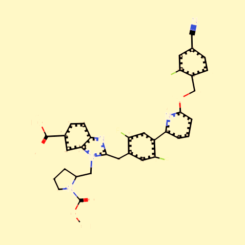 COC(=O)N1CCCC1Cn1c(Cc2cc(F)c(-c3cccc(OCc4ccc(C#N)cc4F)n3)cc2F)nc2ccc(C(=O)O)cc21